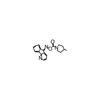 CC1CCN(C(=O)ON=C2c3ccccc3-c3ncccc32)CC1